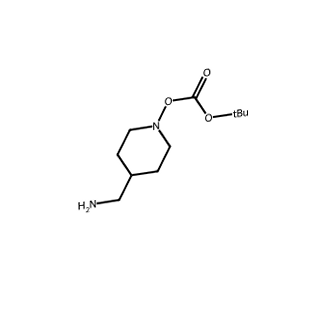 CC(C)(C)OC(=O)ON1CCC(CN)CC1